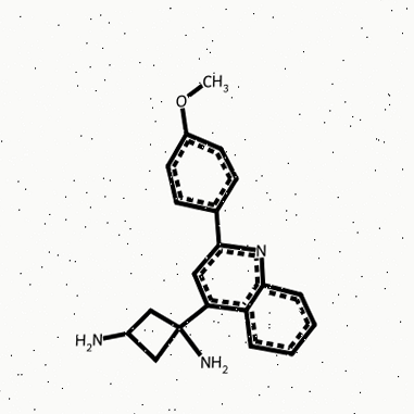 COc1ccc(-c2cc(C3(N)CC(N)C3)c3ccccc3n2)cc1